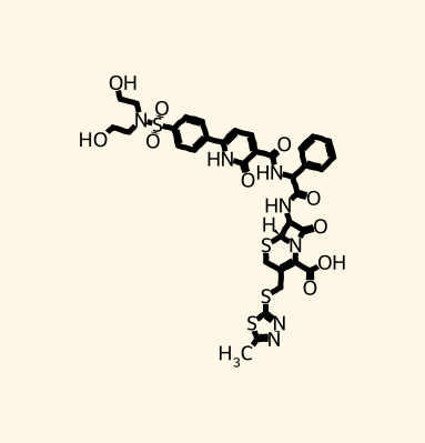 Cc1nnc(SCC2=C(C(=O)O)N3C(=O)C(NC(=O)C(NC(=O)c4ccc(-c5ccc(S(=O)(=O)N(CCO)CCO)cc5)[nH]c4=O)c4ccccc4)[C@@H]3SC2)s1